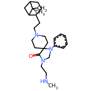 CNCCN1CN(c2ccccc2)C2(CCN(CCC3CCC4CC3C4(C)C)CC2)C1=O